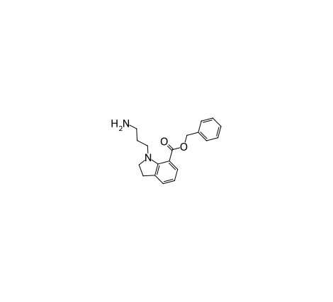 NCCCN1CCc2cccc(C(=O)OCc3ccccc3)c21